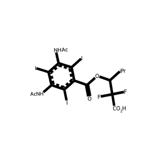 CC(=O)Nc1c(I)c(NC(C)=O)c(I)c(C(=O)OC(C(C)C)C(F)(F)C(=O)O)c1I